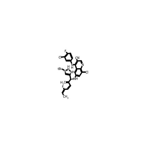 C=C(/C=C\C(F)=C/C)[C@H](Nc1cc(Cl)c2ncc(C#N)c(Nc3ccc(F)c(Cl)c3)c2c1)C1=CN(C(C)(C)C)NN1